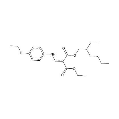 CCCCC(CC)COC(=O)C(=CNc1ccc(OCC)cc1)C(=O)OCC